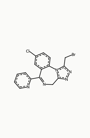 Clc1ccc2c(c1)C(c1ccccn1)=NCc1nnc(CBr)n1-2